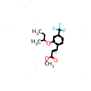 CCC(C)Oc1cc(C(F)(F)F)ccc1/C=C/C(=O)OC